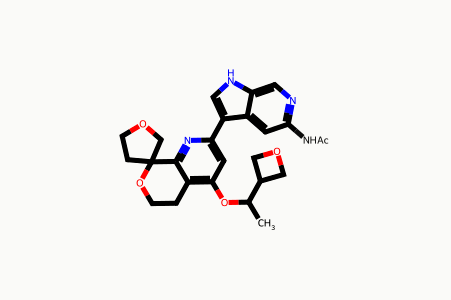 CC(=O)Nc1cc2c(-c3cc(OC(C)C4COC4)c4c(n3)C3(CCOC3)OCC4)c[nH]c2cn1